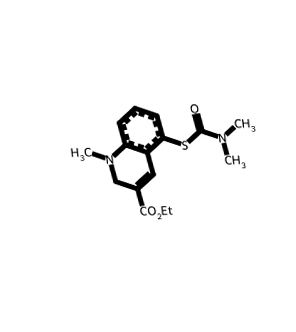 CCOC(=O)C1=Cc2c(SC(=O)N(C)C)cccc2N(C)C1